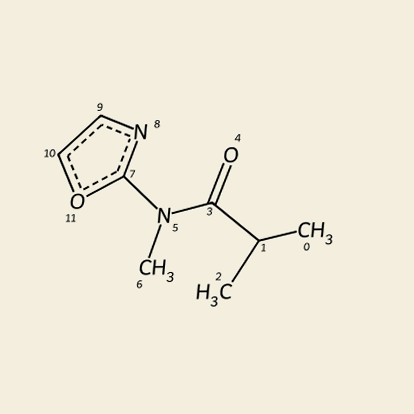 CC(C)C(=O)N(C)c1ncco1